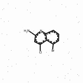 Nc1cc(Cl)c2c(Br)cccc2n1